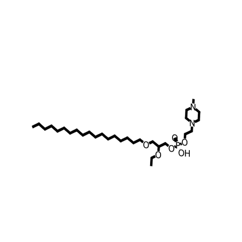 CCCCCCCCCCCCCCCCCCOCC(COP(=O)(O)OCCN1CCN(C)CC1)OCC